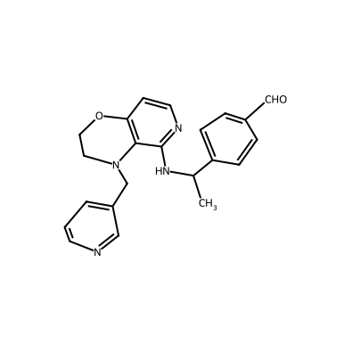 CC(Nc1nccc2c1N(Cc1cccnc1)CCO2)c1ccc(C=O)cc1